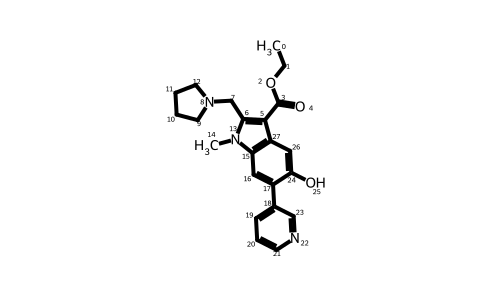 CCOC(=O)c1c(CN2CCCC2)n(C)c2cc(-c3cccnc3)c(O)cc12